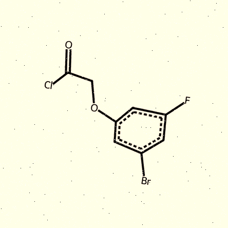 O=C(Cl)COc1cc(F)cc(Br)c1